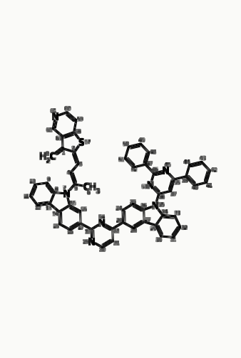 C=c1/c(=C\C=C(/C)n2c3ccccc3c3ccc(-c4nccc(-c5ccc6c(c5)c5ccccc5n6-c5cc(-c6ccccc6)nc(-c6ccccc6)n5)n4)cc32)sc2ccncc12